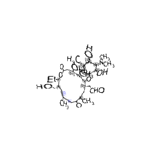 CC[C@H]1OC(=O)C[C@@H](O)[C@H](C)[C@@H](O[C@@H]2O[C@H](C)[C@@H](O)[C@H](N(C)C)[C@H]2O)[C@@H](CC=O)C[C@@H](C)C(=O)/C=C/C(C)=C/[C@@H]1CO